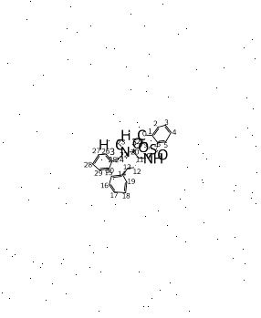 Cc1ccccc1S(=O)(=O)N[C@H](CCc1ccccc1)C(=O)N(C)Cc1ccccc1